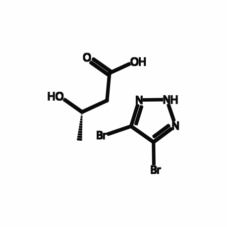 Brc1n[nH]nc1Br.C[C@H](O)CC(=O)O